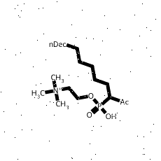 CCCCCCCCCCCCCCCC(C(C)=O)P(=O)(O)OCC[N+](C)(C)C